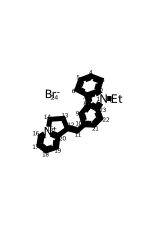 CCn1c2ccccc2c2cc(C=C3CC[n+]4ccccc43)ccc21.[Br-]